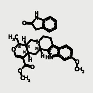 COC(=O)C1=CO[C@@H](C)[C@@H]2CN3CCc4c([nH]c5cc(OC)ccc45)[C@@H]3C[C@H]12.O=C1Cc2ccccc2N1